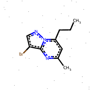 CCCc1cc(C)nc2c(Br)cnn12